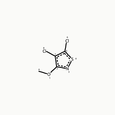 COc1nsc(Cl)c1Cl